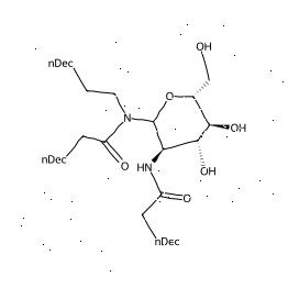 CCCCCCCCCCCCN(C(=O)CCCCCCCCCCC)C1O[C@H](CO)[C@@H](O)[C@H](O)[C@H]1NC(=O)CCCCCCCCCCC